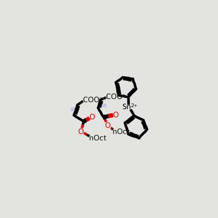 CCCCCCCCOC(=O)/C=C\C(=O)[O-].CCCCCCCCOC(=O)/C=C\C(=O)[O-].c1cc[c]([Sn+2][c]2ccccc2)cc1